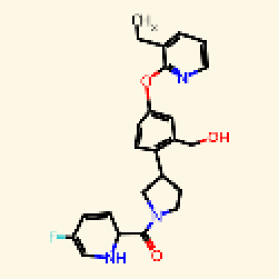 CCc1cccnc1Oc1ccc(C2CCN(C(=O)C3C=CC(F)=CN3)C2)c(CO)c1